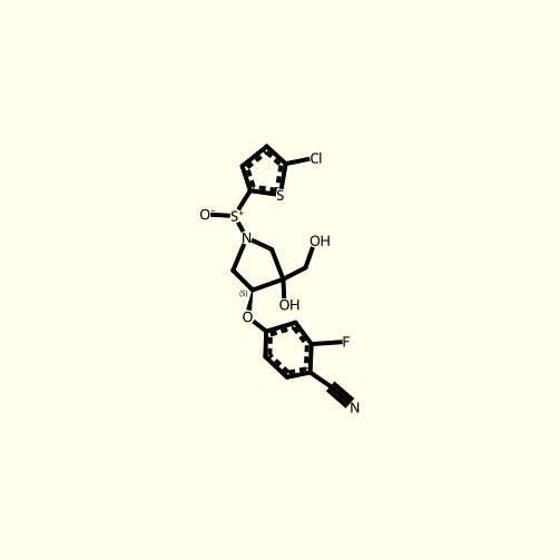 N#Cc1ccc(O[C@H]2CN([S+]([O-])c3ccc(Cl)s3)CC2(O)CO)cc1F